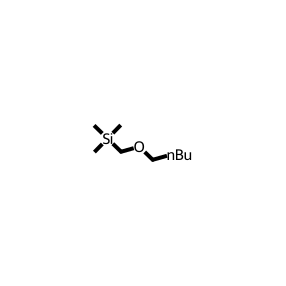 [CH2]CCCCOC[Si](C)(C)C